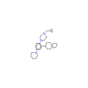 c1cc(N2CCN(CC3CC3)CC2)c(C2CCC3(CCCC3)CC2)cc1N1CCCCC1